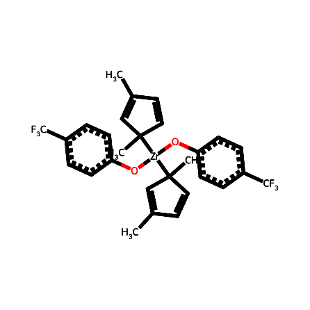 CC1=C[C](C)([Zr]([O]c2ccc(C(F)(F)F)cc2)([O]c2ccc(C(F)(F)F)cc2)[C]2(C)C=CC(C)=C2)C=C1